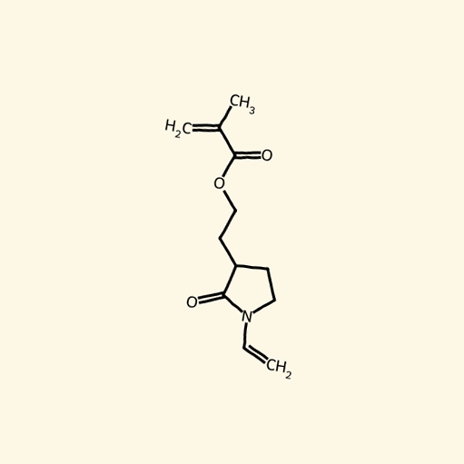 C=CN1CCC(CCOC(=O)C(=C)C)C1=O